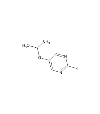 CC(C)Oc1cnc(I)nc1